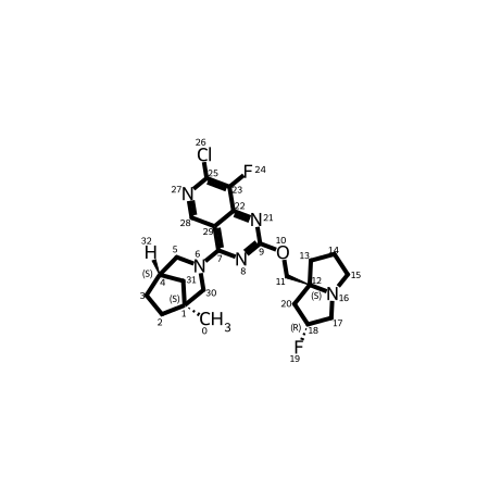 C[C@@]12CC[C@H](CN(c3nc(OC[C@@]45CCCN4C[C@H](F)C5)nc4c(F)c(Cl)ncc34)C1)C2